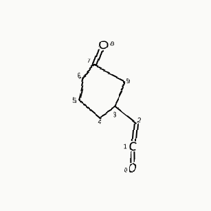 O=C=CC1CCCC(=O)C1